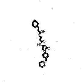 O=C(/C=C/N=C(\S)CCC1=CC=CC=CC1)NC1CC(=O)N(C2C=CC(CN3CCCCC3)=CC2)C1